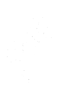 Cc1cc(C)cc(-c2c(C(F)(F)F)ccc3c2NC(=O)C3=NNc2c(O)cccc2OCCC(=O)O)c1